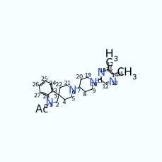 CC(=O)N1CC2(CCN(C3CCN(c4cnc(C)c(C)n4)CC3)CC2)c2ccccc21